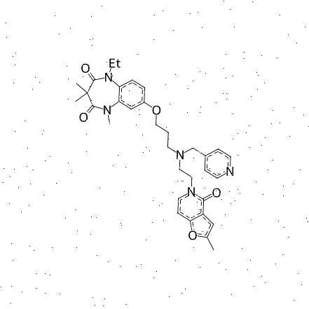 CCN1C(=O)C(C)(C)C(=O)N(C)c2cc(OCCCN(CCn3ccc4oc(C)cc4c3=O)Cc3ccncc3)ccc21